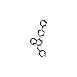 C1=NCCC(Cc2nnc(N3CCC(c4ccccc4)CC3)c3ccccc23)=C1